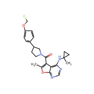 Cc1oc2ncnc(NC3(C)CC3)c2c1C(=O)N1CCC(c2ccc(OCF)cc2)C1